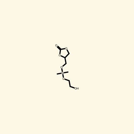 C[Si](C)(OCCO)OCC1COC(=O)O1